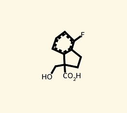 O=C(O)C1(CO)CCc2c(F)cccc21